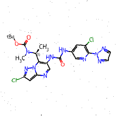 C[C@@H](c1c(NC(=O)Nc2cnc(-n3nccn3)c(Cl)c2)cnc2cc(Cl)nn12)N(C)C(=O)OC(C)(C)C